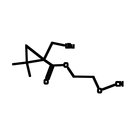 CC(C)(C)CC1(C(=O)OCCOC#N)CC1(C)C